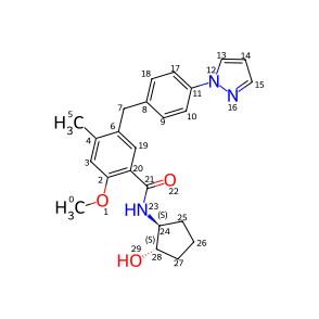 COc1cc(C)c(Cc2ccc(-n3cccn3)cc2)cc1C(=O)N[C@H]1CCC[C@@H]1O